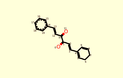 O=C(/C=C/C1=CCCC=C1)C(=O)/C=C/c1ccccc1